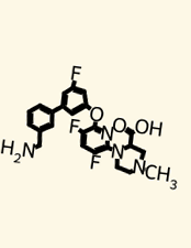 CN1CCN(c2nc(Oc3cc(F)cc(-c4cccc(CN)c4)c3)c(F)cc2F)C(C(=O)O)C1